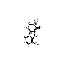 Fc1cccc2c1oc1c(F)c(Cl)ccc12